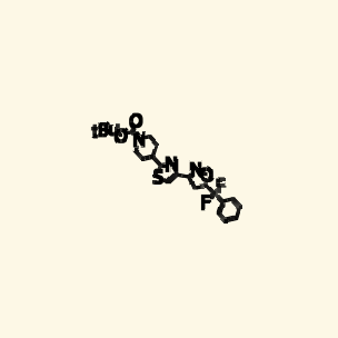 CC(C)(C)OC(=O)N1CCC(c2nc(C3=NOC(C(F)(F)c4ccccc4)C3)cs2)CC1